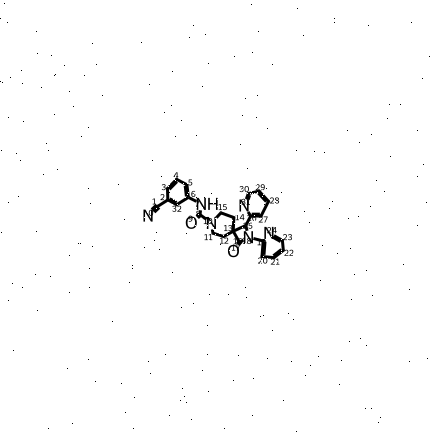 N#Cc1cccc(NC(=O)N2CCC3(CC2)C(=O)N(c2ccccn2)C3c2ccccn2)c1